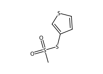 CS(=O)(=O)Sc1ccsc1